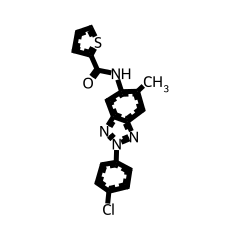 Cc1cc2nn(-c3ccc(Cl)cc3)nc2cc1NC(=O)c1cccs1